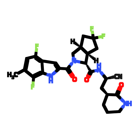 Cc1cc(F)c2cc(C(=O)N3C[C@H]4CC(F)(F)C[C@H]4[C@@H]3C(=O)N[C@@H](C#N)C[C@@H]3CCCNC3=O)[nH]c2c1F